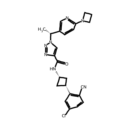 C[C@H](c1ccc(N2CCC2)nc1)n1cc(C(=O)N[C@H]2C[C@@H](c3cc(Cl)ccc3C#N)C2)nn1